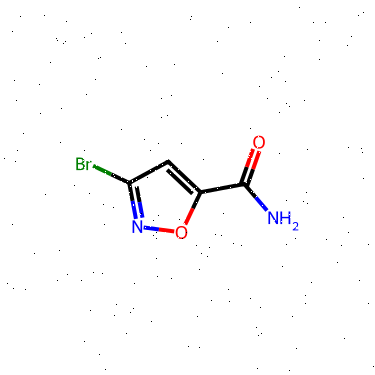 NC(=O)c1cc(Br)no1